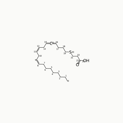 CCCCCCCC/C=C\C/C=C\CC=C=CCCCSCCC(=O)O